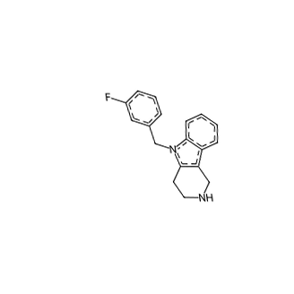 Fc1cccc(Cn2c3c(c4ccccc42)CNCC3)c1